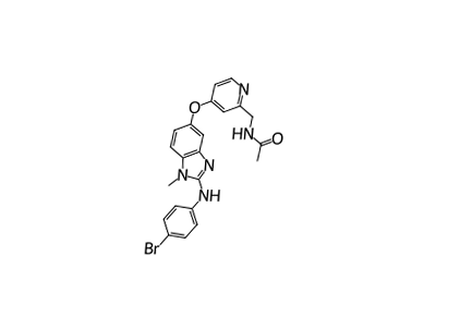 CC(=O)NCc1cc(Oc2ccc3c(c2)nc(Nc2ccc(Br)cc2)n3C)ccn1